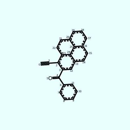 C#Cc1c(C(=O)c2ccccc2)cc2ccc3cccc4ccc1c2c34